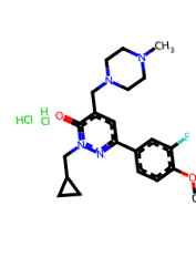 COc1ccc(-c2cc(CN3CCN(C)CC3)c(=O)n(CC3CC3)n2)cc1F.Cl.Cl